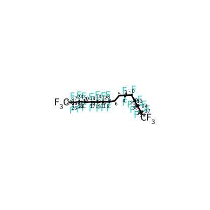 FC(C(F)(F)CCC(F)(F)C(F)(F)C(F)(F)C(F)(F)C(F)(F)C(F)(F)C(F)(F)C(F)(F)F)C(F)(F)C(F)(F)C(F)(F)C(F)(F)F